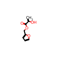 C=C(O)C(=O)OCc1ccco1